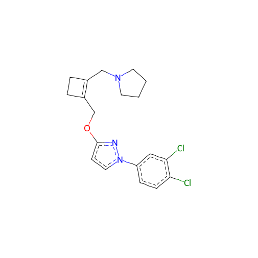 Clc1ccc(-n2ccc(OCC3=C(CN4CCCC4)CC3)n2)cc1Cl